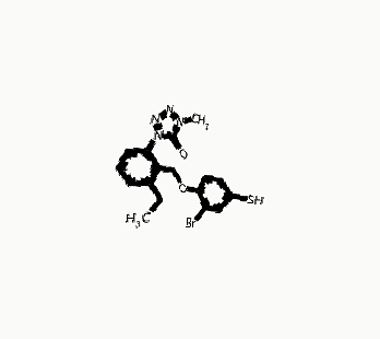 CCc1cccc(-n2nnn(C)c2=O)c1COc1ccc(S)cc1Br